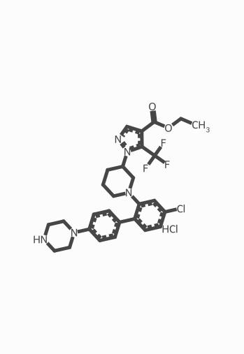 CCOC(=O)c1cnn(C2CCCN(c3cc(Cl)ccc3-c3ccc(N4CCNCC4)cc3)C2)c1C(F)(F)F.Cl